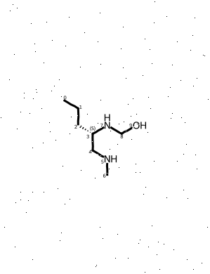 CCC[C@@H](CNC)NCO